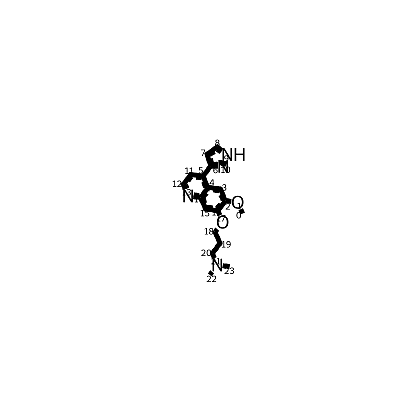 COc1cc2c(-c3cc[nH]n3)ccnc2cc1OCCCN(C)C